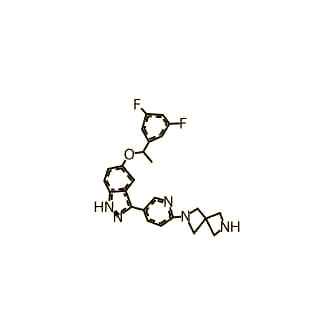 CC(Oc1ccc2[nH]nc(-c3ccc(N4CC5(CNC5)C4)nc3)c2c1)c1cc(F)cc(F)c1